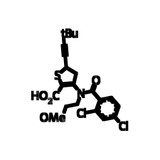 COCCN(C(=O)c1ccc(Cl)cc1Cl)C1=C(C(=O)O)SC(C#CC(C)(C)C)C1